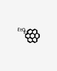 CCOCC.c1cc2ccc3ccc4ccc5ccc6ccc1c1c2c3c4c5c61